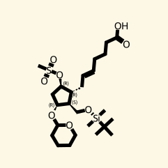 CC(C)(C)[Si](C)(C)OC[C@@H]1[C@@H](CC=CCCCC(=O)O)[C@H](OS(C)(=O)=O)C[C@H]1OC1CCCCO1